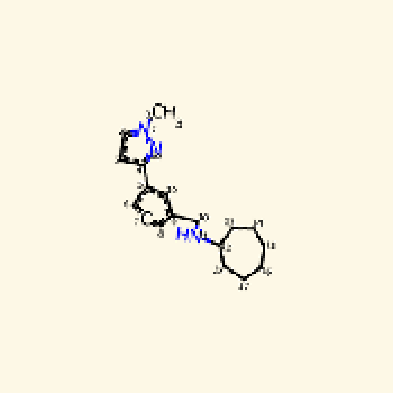 Cn1ccc(-c2cccc(CNC3CCCCCC3)c2)n1